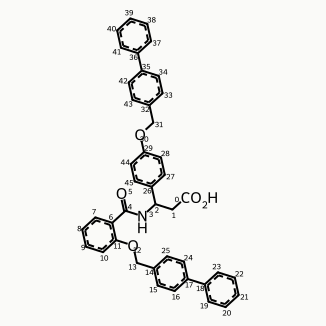 O=C(O)CC(NC(=O)c1ccccc1OCc1ccc(-c2ccccc2)cc1)c1ccc(OCc2ccc(-c3ccccc3)cc2)cc1